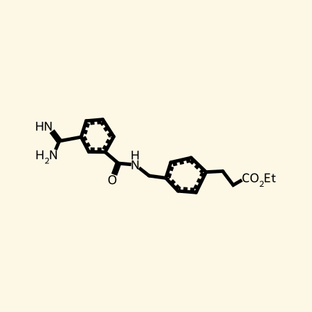 CCOC(=O)CCc1ccc(CNC(=O)c2cccc(C(=N)N)c2)cc1